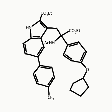 CCOC(=O)c1[nH]c2ccc(-c3ccc(C(F)(F)F)cc3)cc2c1CC(NC(C)=O)(C(=O)OCC)c1ccc(OC2CCCC2)cc1